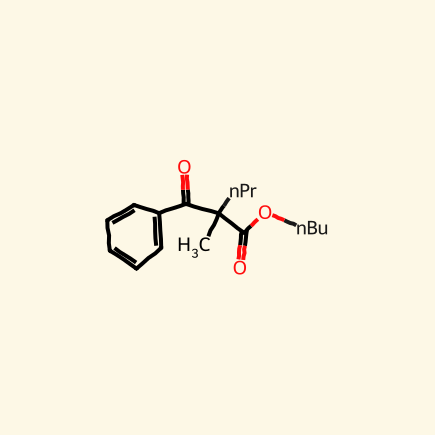 CCCCOC(=O)C(C)(CCC)C(=O)c1ccccc1